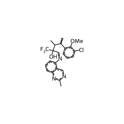 C=C(c1cccc(Cl)c1OC)C(C)C(O)(C=Nc1cccc2nc(C)ncc12)C(F)(F)F